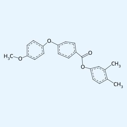 COc1ccc(Oc2ccc(C(=O)Oc3ccc(C)c(C)c3)cc2)cc1